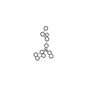 c1ccc(-c2cccc3c2oc2ccc(-c4ccc(N(c5ccc(-c6cccc7cccc(-c8ccccc8)c67)cc5)c5ccc6ccccc6c5)cc4)cc23)cc1